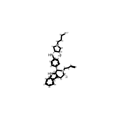 C=CCCN1[C@H](c2ccc(N[C@@H]3CN(CCCF)C[C@@H]3F)cc2)c2[nH]c3ccccc3c2C[C@H]1C